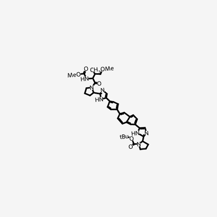 COCC(C)C(NC(=O)OC)C(=O)N1CCCC1c1ncc(-c2ccc(-c3ccc4cc(-c5cnc(C6CCCN6C(=O)OC(C)(C)C)[nH]5)ccc4c3)cc2)[nH]1